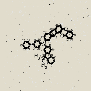 CC1(C)c2ccccc2-c2ccc(N(c3ccc(-c4ccccc4)cc3)c3ccc4c(c3)c3oc4c4ccc5c(c43)Oc3ccccc3O5)cc21